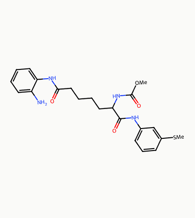 COC(=O)NC(CCCCC(=O)Nc1ccccc1N)C(=O)Nc1cccc(SC)c1